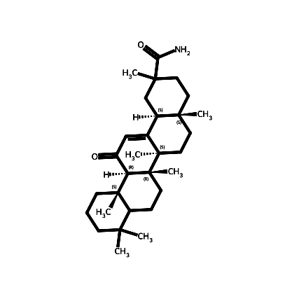 CC1(C(N)=O)CC[C@]2(C)CC[C@]3(C)C(=CC(=O)[C@@H]4[C@@]5(C)CCCC(C)(C)C5CC[C@]43C)[C@H]2C1